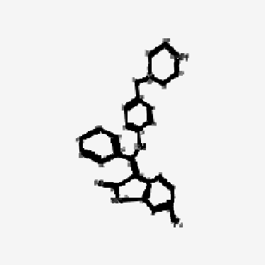 O=C1Nc2cc(F)ccc2C1=C(Nc1ccc(CN2CCNCC2)cc1)c1ccccc1